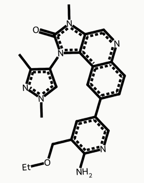 CCOCc1cc(-c2ccc3ncc4c(c3c2)n(-c2cn(C)nc2C)c(=O)n4C)cnc1N